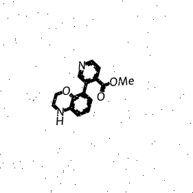 COC(=O)c1ccncc1-c1cccc2c1OCCN2